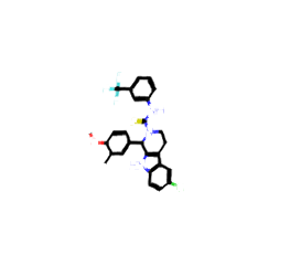 COC1C=CC(C2c3[nH]c4ccc(Cl)cc4c3CCN2C(=S)Nc2cccc(C(F)(F)F)c2)=CC1C